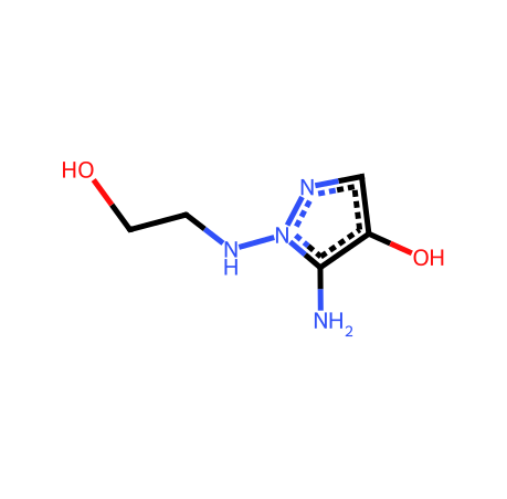 Nc1c(O)cnn1NCCO